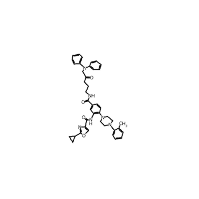 Cc1ccccc1N1CCN(c2ccc(C(=O)NCCCC(=O)CN(c3ccccc3)c3ccccc3)cc2NC(=O)c2coc(C3CC3)n2)CC1